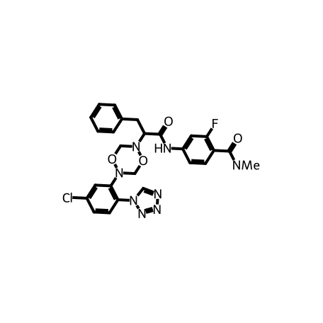 CNC(=O)c1ccc(NC(=O)C(Cc2ccccc2)N2CON(c3cc(Cl)ccc3-n3cnnn3)CO2)cc1F